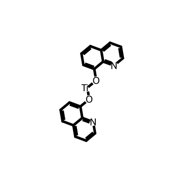 c1cnc2c([O][Ti][O]c3cccc4cccnc34)cccc2c1